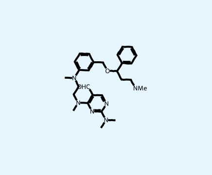 CNCCC(OCc1cccc(N(C)CCN(C)c2nc(N(C)C)ncc2C=O)c1)c1ccccc1